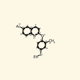 CCSc1ccc(Oc2ccc3cc(C(C)=O)ccc3n2)c(C)c1